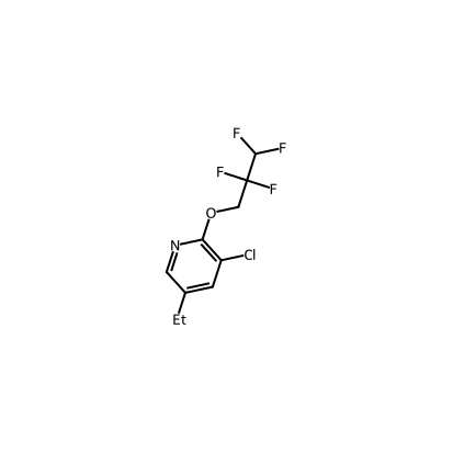 CCc1cnc(OCC(F)(F)C(F)F)c(Cl)c1